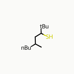 CCCCC(C)CC(S)C(C)(C)C